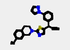 COC(c1cccc(-n2cccn2)c1)c1cnc(N2CCc3ccc(C(C)=O)cc3C2)s1